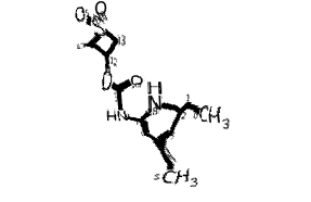 CCC1C=C(C)C=C(NC(=O)OC2CS(=O)(=O)C2)N1